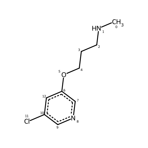 CNCCCOc1cncc(Cl)c1